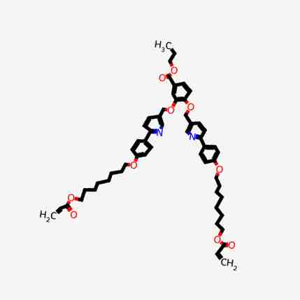 C=CC(=O)OCCCCCCCCOc1ccc(-c2ccc(COc3ccc(C(=O)OCCC)cc3OCc3ccc(-c4ccc(OCCCCCCCCOC(=O)C=C)cc4)nc3)cn2)cc1